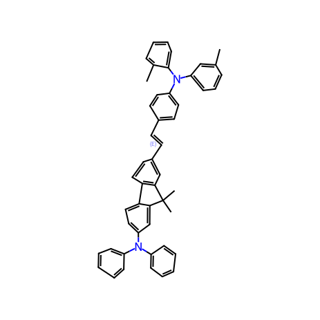 Cc1cccc(N(c2ccc(/C=C/c3ccc4c(c3)C(C)(C)c3cc(N(c5ccccc5)c5ccccc5)ccc3-4)cc2)c2ccccc2C)c1